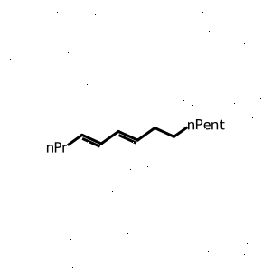 [CH2]CCC=CC=CCCCCCCC